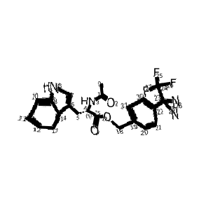 CC(=O)N[C@@H](Cc1c[nH]c2ccccc12)C(=O)OCc1ccc(C2(C(F)(F)F)N=N2)cc1